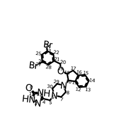 O=c1[nH]nc(CN2CCN(C3c4ccccc4CC3OCc3cc(Br)cc(Br)c3)CC2)[nH]1